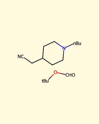 CC(C)(C)OC=O.CCCCN1CCC(CC#N)CC1